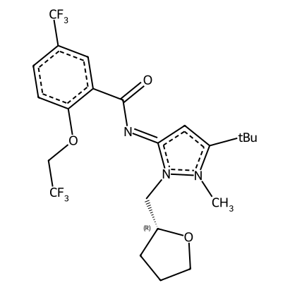 Cn1c(C(C)(C)C)cc(=NC(=O)c2cc(C(F)(F)F)ccc2OCC(F)(F)F)n1C[C@H]1CCCO1